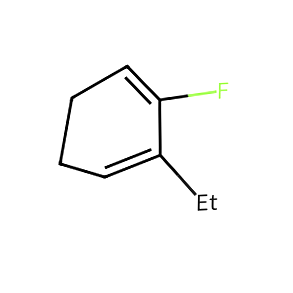 CCC1=CCCC=C1F